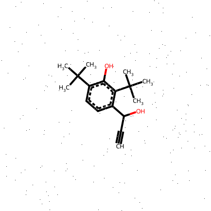 C#CC(O)c1ccc(C(C)(C)C)c(O)c1C(C)(C)C